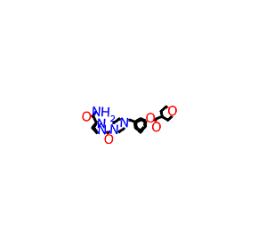 NC(=O)c1ccn(C(=O)N2CCN(Cc3cccc(OC(=O)C4CCOCC4)c3)CC2)n1